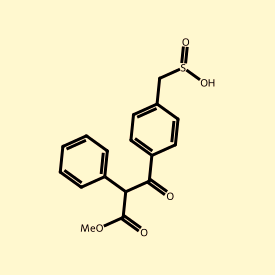 COC(=O)C(C(=O)c1ccc(CS(=O)O)cc1)c1ccccc1